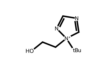 CC(C)(C)[N+]1(CCO)C=NC=N1